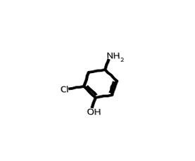 NC1C=CC(O)=C(Cl)C1